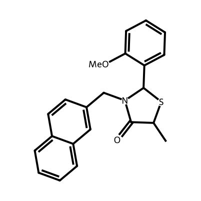 COc1ccccc1C1SC(C)C(=O)N1Cc1ccc2ccccc2c1